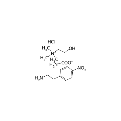 C[N+](C)(C)CCO.Cl.NC(=O)[O-].NCCc1ccc([N+](=O)[O-])cc1